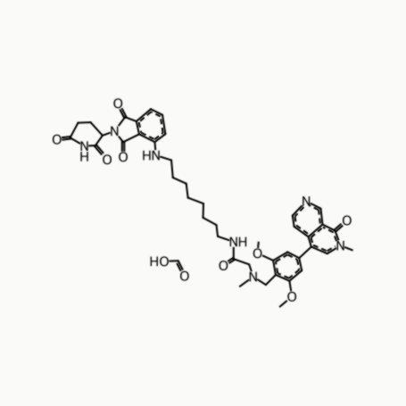 COc1cc(-c2cn(C)c(=O)c3cnccc23)cc(OC)c1CN(C)CC(=O)NCCCCCCCCNc1cccc2c1C(=O)N(C1CCC(=O)NC1=O)C2=O.O=CO